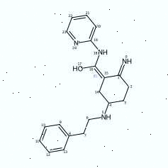 N=C1CCC(NCCc2ccccc2)C/C1=C(\O)Nc1ccccn1